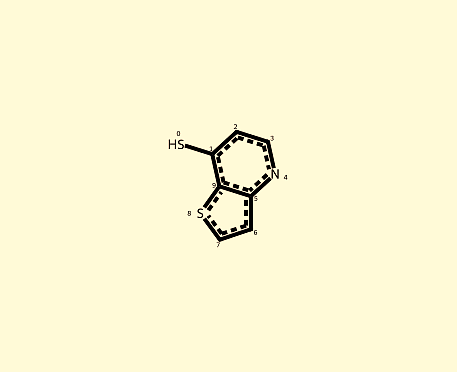 Sc1ccnc2ccsc12